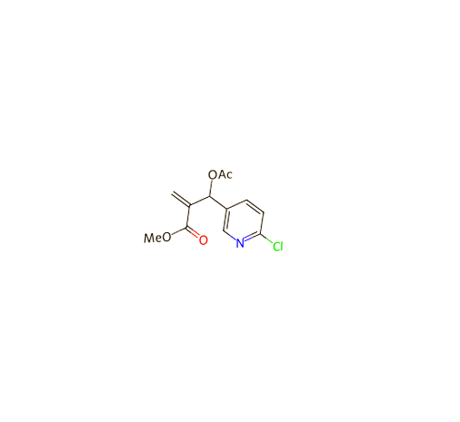 C=C(C(=O)OC)C(OC(C)=O)c1ccc(Cl)nc1